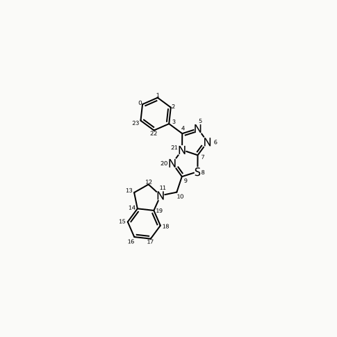 c1ccc(-c2nnc3sc(CN4CCc5ccccc54)nn23)cc1